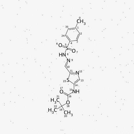 Cc1ccc(S(=O)(=O)NN=Cc2ncc(NC(=O)OC(C)(C)C)s2)cc1